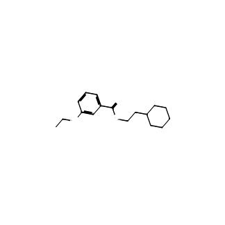 CCOc1cccc(C(=O)N[C@@H](C)CC2CCCCC2)c1